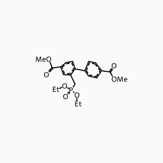 CCOP(=O)(Cc1cc(C(=O)OC)ccc1-c1ccc(C(=O)OC)cc1)OCC